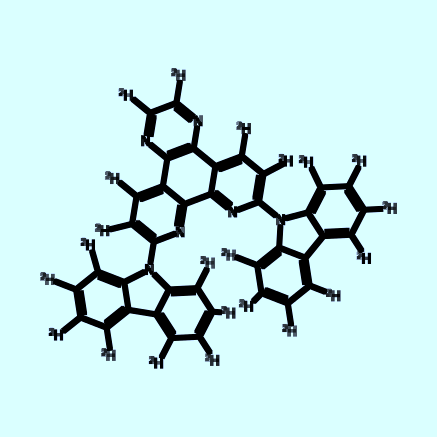 [2H]c1nc2c(nc1[2H])c1c([2H])c([2H])c(-n3c4c([2H])c([2H])c([2H])c([2H])c4c4c([2H])c([2H])c([2H])c([2H])c43)nc1c1nc(-n3c4c([2H])c([2H])c([2H])c([2H])c4c4c([2H])c([2H])c([2H])c([2H])c43)c([2H])c([2H])c21